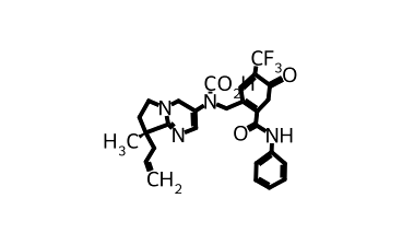 C=CC[C@]1(C)CCN2CC(N(CC3=C(C(=O)Nc4ccccc4)CC(=O)C(C(F)(F)F)=C3)C(=O)O)=CN=C21